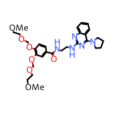 COCCOCOc1ccc(C(=O)NCCNc2nc(N3CCCC3)c3ccccc3n2)cc1OCOCCOC